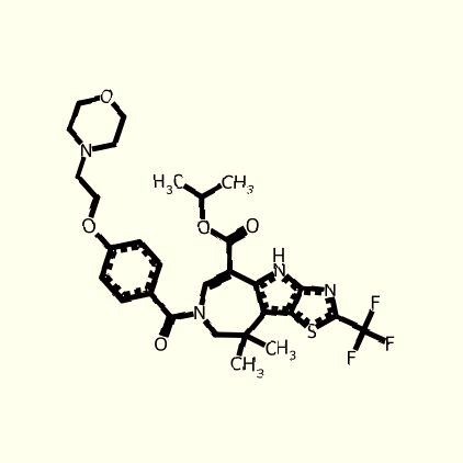 CC(C)OC(=O)C1=CN(C(=O)c2ccc(OCCN3CCOCC3)cc2)CC(C)(C)c2c1[nH]c1nc(C(F)(F)F)sc21